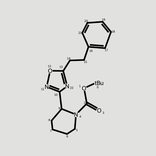 CC(C)(C)OC(=O)N1CCCCC1c1noc(CCc2ccccc2)n1